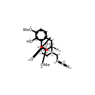 COc1ccc2c(c1O)[C@@]13CCN(CN=[N+]=[N-])[C@@H](C2)[C@H]1CC(OC)C(=O)C3